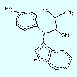 CC(O)C(O)C(c1ccc(O)cc1)c1c[nH]c2ccccc12